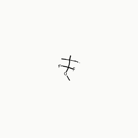 [CH2]C(C)(C)C(F)(F)OC